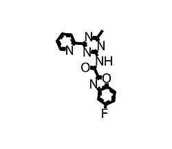 Cc1nc(NC(=O)c2nc3cc(F)ccc3o2)nc(-c2ccccn2)n1